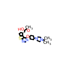 CC(=O)[C@H](O)C[C@H]1CCc2sc3ncnc(OC4CCC(N5CCN(C(C)C)CC5)CC4)c3c21